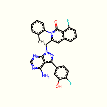 Cc1ccccc1-n1c(Cn2nc(-c3ccc(F)c(O)c3)c3c(N)ncnc32)cc2cccc(F)c2c1=O